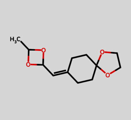 CC1OC(C=C2CCC3(CC2)OCCO3)O1